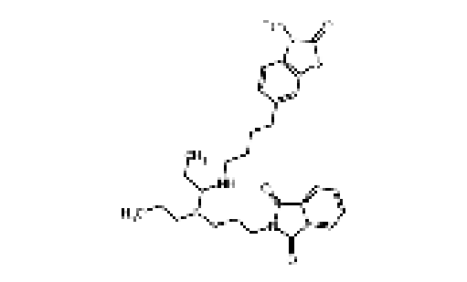 CCCN(CCCN1C(=O)c2ccccc2C1=O)C(CC)NCCCCc1ccc2c(c1)sc(=O)n2C